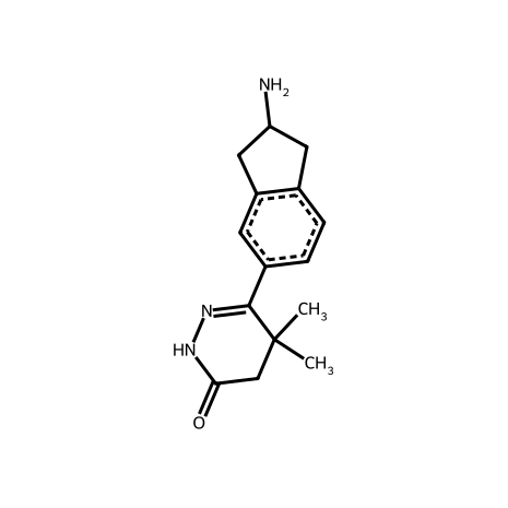 CC1(C)CC(=O)NN=C1c1ccc2c(c1)CC(N)C2